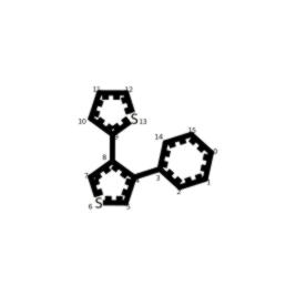 c1ccc(-c2cscc2-c2cccs2)cc1